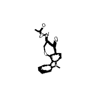 CC(=O)O/N=C1\COc2c(ccc3c2c2ccccc2n3C)C1=O